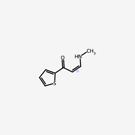 CN/C=C\C(=O)c1cccs1